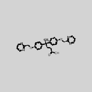 CC(CCC(=O)O)(c1ccc(OCc2ncccn2)cc1)c1ccc(OCc2ncccn2)cc1